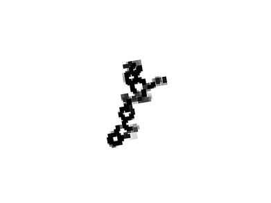 CC(C)(C)CN1Cc2c(ccc3[nH]ncc23)C[C@@H](NC(=O)N2CCC(C3Cc4ccccc4NC3=O)CC2)C1=O